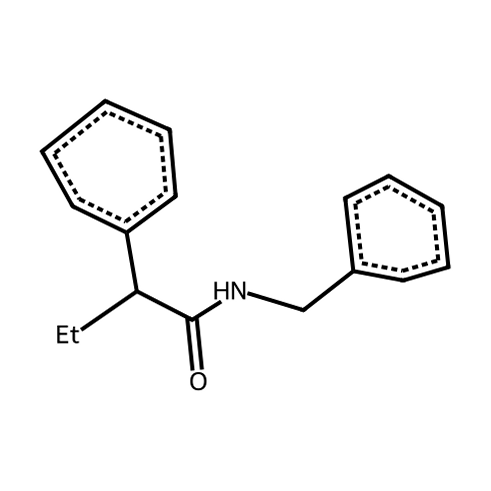 CCC(C(=O)NCc1ccccc1)c1ccccc1